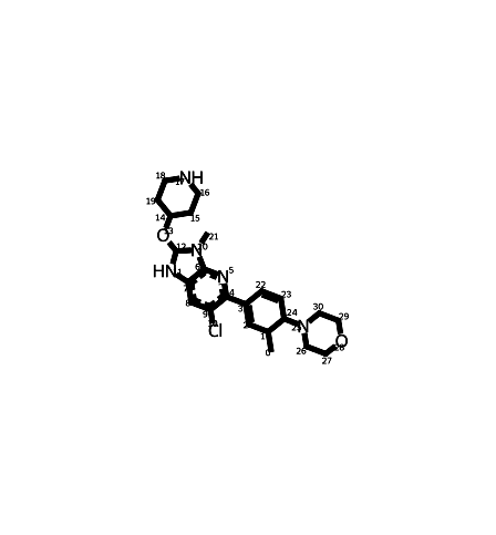 CC1C=C(c2nc3c(cc2Cl)NC(OC2CCNCC2)N3C)C=CC1N1CCOCC1